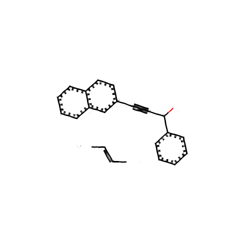 COC=CC(=O)O.OC(C#Cc1ccc2ccccc2c1)c1ccccc1